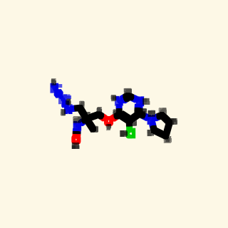 CC(CN=[N+]=[N-])(COc1ncnc(N2CCCC2)c1Cl)N=O